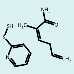 C=CCC=C(C)C(N)=O.SSc1ccccn1